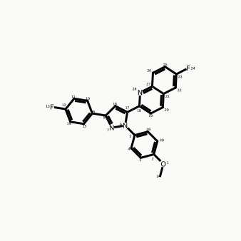 COc1ccc(-n2nc(-c3ccc(F)cc3)cc2-c2ccc3cc(F)ccc3n2)cc1